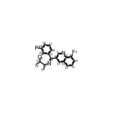 CC1N=C(c2cnc3c(F)cccc3c2)c2cccc(F)c2OC1C